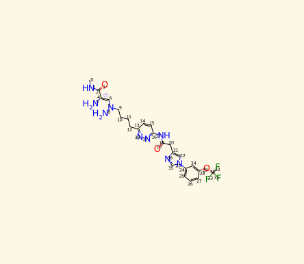 CNC(=O)/C(N)=C/N(N)CCCCc1ccc(NC(=O)Cc2cn(-c3cccc(OC(F)(F)F)c3)cn2)nn1